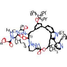 CCn1c(-c2cccnc2C(C)C)c2c3cc(ccc31)-c1cc(cc(O[Si](C(C)C)(C(C)C)C(C)C)c1)C[C@H](NC(=O)[C@H](C(C)C)N(C)C(=O)[C@H](C)NC(=O)OC(C)(C)C)C(=O)N1CCC[C@H](N1)C(=O)OCC(C)(C)C2